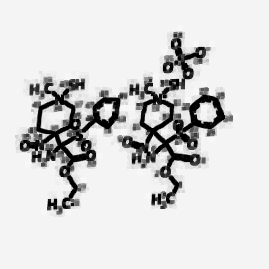 CCOC(=O)C(N)(C1(N=O)CC[N+](C)(S)CC1)S(=O)(=O)c1ccccc1.CCOC(=O)C(N)(C1(N=O)CC[N+](C)(S)CC1)S(=O)(=O)c1ccccc1.O=S(=O)([O-])[O-]